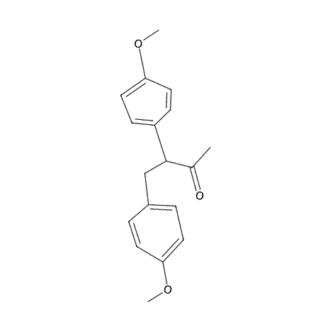 COc1ccc(CC(C(C)=O)c2ccc(OC)cc2)cc1